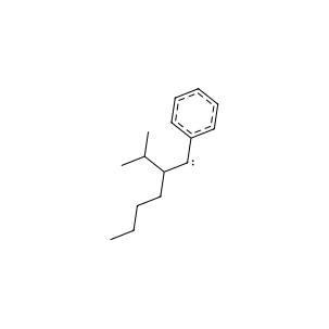 CCCCC([C]c1ccccc1)C(C)C